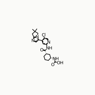 CC1(C)Cc2ncc(-c3cc(NC(=O)[C@H]4CCC[C@@H](NC(=O)O)C4)ncc3Cl)n2C1